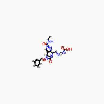 CCNC(=O)n1cc2c(n1)C(CN=C=NC(=O)O)N1CC2N(OCc2ccccc2)C1=O